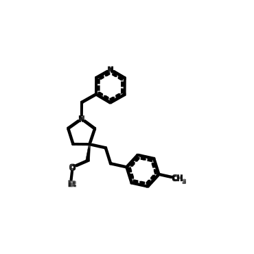 CCOC[C@@]1(CCc2ccc(C)cc2)CCN(Cc2cccnc2)C1